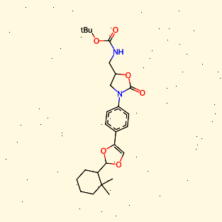 CC(C)(C)OC(=O)NCC1CN(c2ccc(C3=COC(C4CCCCC4(C)C)O3)cc2)C(=O)O1